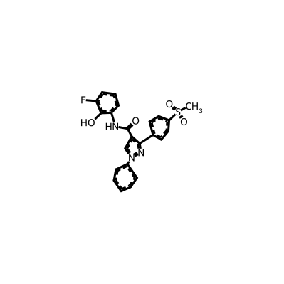 CS(=O)(=O)c1ccc(-c2nn(-c3ccccc3)cc2C(=O)Nc2cccc(F)c2O)cc1